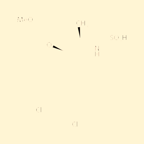 COCO[C@H](c1ccc(Cl)c(Cl)c1)[C@@H](C)NS(=O)(=O)O